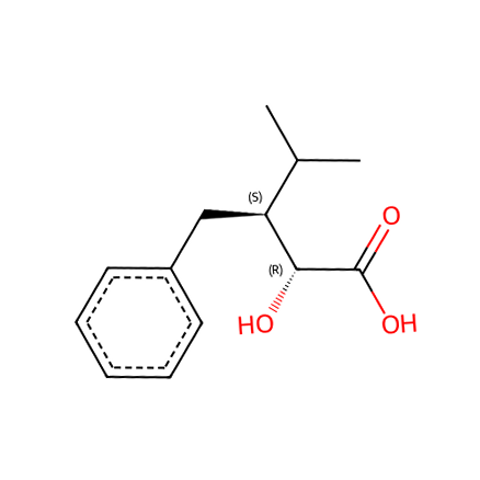 CC(C)[C@H](Cc1ccccc1)[C@@H](O)C(=O)O